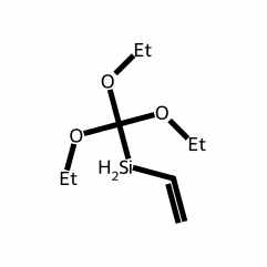 C=C[SiH2]C(OCC)(OCC)OCC